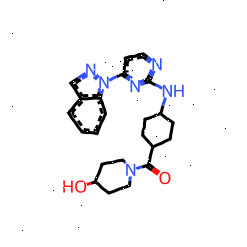 O=C(C1CCC(Nc2nccc(-n3ncc4ccccc43)n2)CC1)N1CCC(O)CC1